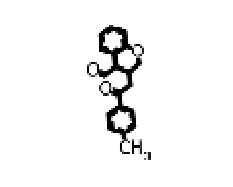 Cc1ccc(C(=O)CC2COc3ccccc3C2C=O)cc1